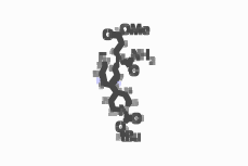 COC(=O)CCN(C/C=C(\C=C/CF)C1CCN(C(=O)OC(C)(C)C)CC1)C(N)=O